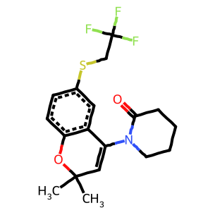 CC1(C)C=C(N2CCCCC2=O)c2cc(SCC(F)(F)F)ccc2O1